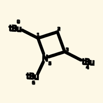 CC(C)(C)C1CC(C(C)(C)C)N1C(C)(C)C